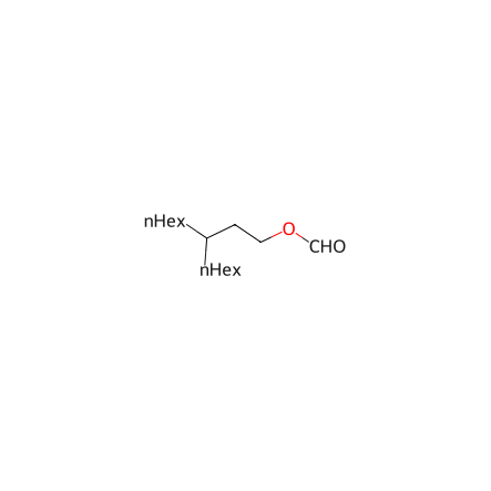 CCCCCCC(CCCCCC)CCOC=O